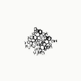 CN(C)[C@@H]1C(O)=C(C(N)=O)C(=O)[C@@]2(O)C(O)=C3C(=O)c4c(O)ccc(Cl)c4[C@@](C)(O)[C@H]3C[C@@H]12.CN(C)[C@@H]1C(O)=C(C(N)=O)C(=O)[C@@]2(O)C(O)=C3C(=O)c4c(O)ccc(Cl)c4[C@@](C)(O)[C@H]3C[C@@H]12